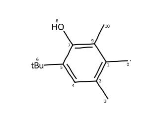 [CH2]c1c(C)cc(C(C)(C)C)c(O)c1C